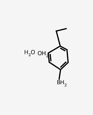 Bc1ccc(CC)cc1.O.O